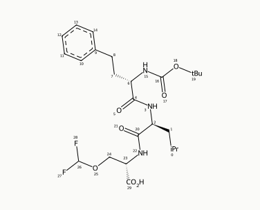 CC(C)C[C@H](NC(=O)[C@H](CCc1ccccc1)NC(=O)OC(C)(C)C)C(=O)N[C@@H](COC(F)F)C(=O)O